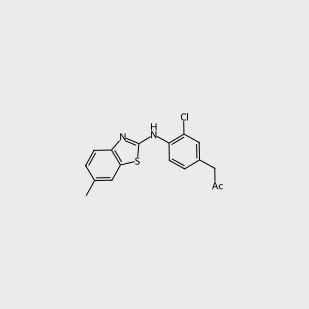 CC(=O)Cc1ccc(Nc2nc3ccc(C)cc3s2)c(Cl)c1